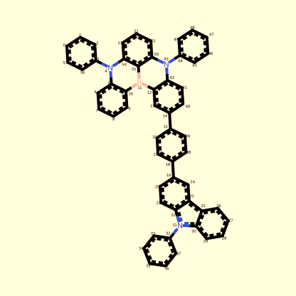 c1ccc(N2c3ccccc3B3c4cc(-c5ccc(-c6ccc7c(c6)c6ccccc6n7-c6ccccc6)cc5)ccc4N(c4ccccc4)c4cccc2c43)cc1